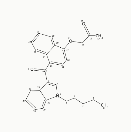 CCCCCn1cc(C(=O)c2ccc(OCC(C)=O)c3ccccc23)c2ccccc21